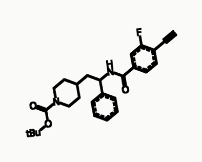 C#Cc1ccc(C(=O)NC(CC2CCN(C(=O)OC(C)(C)C)CC2)c2ccccc2)cc1F